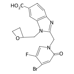 O=C(O)c1ccc2nc(Cn3cc(F)c(Br)cc3=O)n(CC3CCO3)c2c1